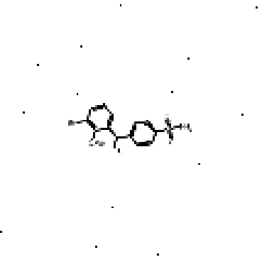 CCc1cccc(C(C)c2ccc(S(N)(=O)=O)cc2)c1OC